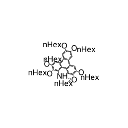 CCCCCCOc1cc2c3cc(OCCCCCC)c(OCCCCCC)cc3c3c(N)c(OCCCCCC)c(OCCCCCC)cc3c2cc1OCCCCCC